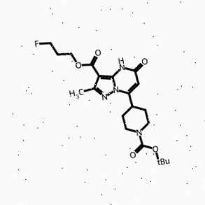 Cc1nn2c(C3CCN(C(=O)OC(C)(C)C)CC3)cc(=O)[nH]c2c1C(=O)OCCCF